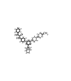 CN1CCN(C2CCN(c3nc(-c4ccc(NC(=O)Nc5ccncc5)cc4)nc(N4CC5CCC(C4)O5)n3)CC2)CC1